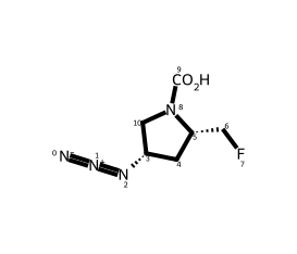 [N-]=[N+]=N[C@H]1C[C@@H](CF)N(C(=O)O)C1